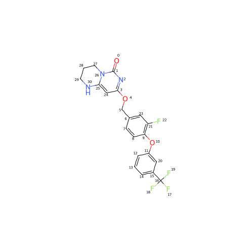 O=c1nc(OCc2ccc(Oc3cccc(C(F)(F)F)c3)c(F)c2)cc2n1CCCN2